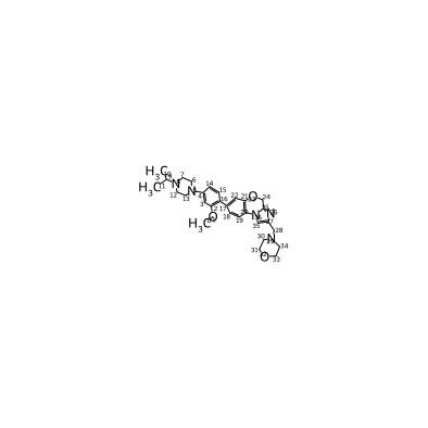 COc1cc(N2CCN(C(C)C)CC2)ccc1-c1ccc2c(c1)OCc1nc(CN3CCOCC3)cn1-2